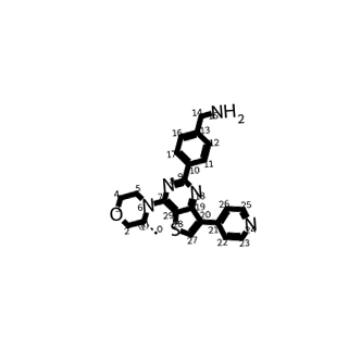 C[C@@H]1COCCN1c1nc(-c2ccc(CN)cc2)nc2c(-c3ccncc3)csc12